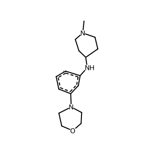 CN1CCC(Nc2[c]ccc(N3CCOCC3)c2)CC1